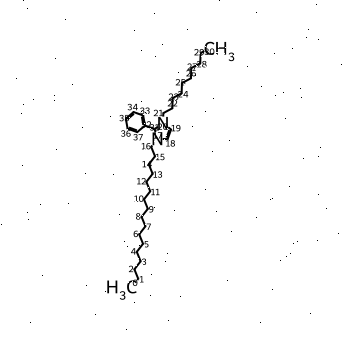 CCCCCCCCCCCCCCCCCN1C=CN(CCCCCCCCCC)C1c1ccccc1